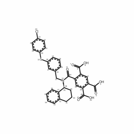 O=C(O)c1cc(C(=O)O)c(C(=O)N(Cc2cccc(Sc3ccc(Cl)cc3)c2)[C@H]2CCCc3ccccc32)cc1C(=O)O